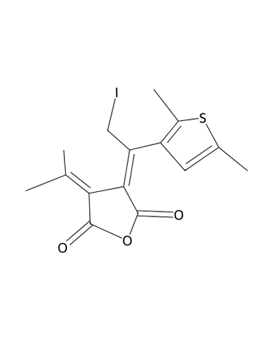 CC(C)=C1C(=O)OC(=O)C1=C(CI)c1cc(C)sc1C